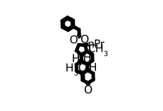 CCCC1(OC(=O)Cc2ccccc2)CC[C@H]2[C@@H]3CCC4=CC(=O)CC[C@]4(C)[C@@H]3CC[C@@]21C